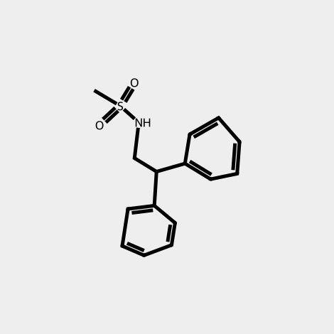 CS(=O)(=O)NCC(c1ccccc1)c1ccccc1